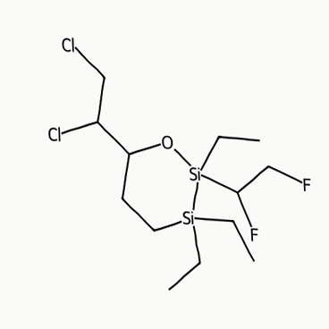 CC[Si]1(CC)CCC(C(Cl)CCl)O[Si]1(CC)C(F)CF